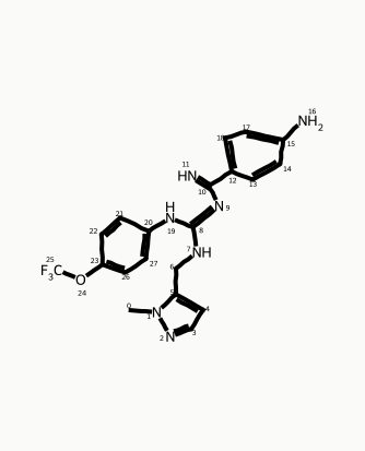 Cn1nccc1CN/C(=N/C(=N)c1ccc(N)cc1)Nc1ccc(OC(F)(F)F)cc1